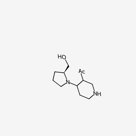 CC(=O)C1CNCCC1N1CCC[C@H]1CO